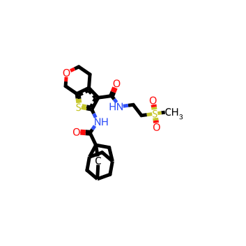 CS(=O)(=O)CCNC(=O)c1c(NC(=O)C23CC4CC(CC2C4)C3)sc2c1CCOC2